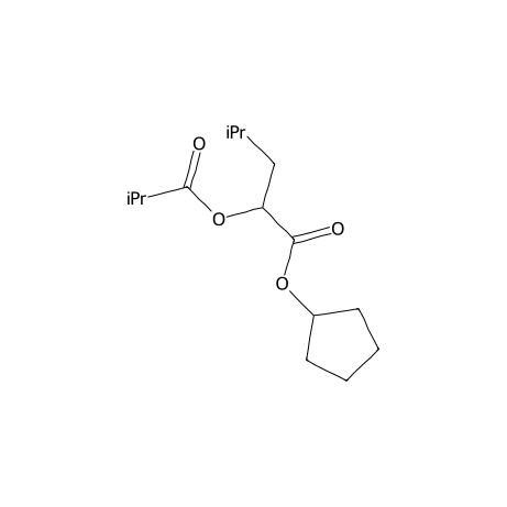 CC(C)CC(OC(=O)C(C)C)C(=O)OC1CCCC1